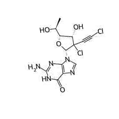 C[C@H](O)[C@H]1O[C@@H](n2cnc3c(=O)[nH]c(N)nc32)C(Cl)(C#CCl)[C@H]1O